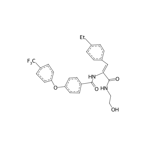 CCc1ccc(/C=C(\NC(=O)c2ccc(Oc3ccc(C(F)(F)F)cc3)cc2)C(=O)NCCO)cc1